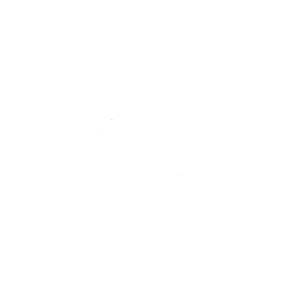 CC1(C)CC(CCCBr)CCO1